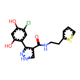 O=C(NCCc1cccs1)c1c[nH]nc1-c1cc(Cl)c(O)cc1O